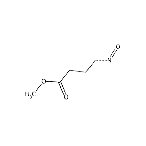 COC(=O)CCCN=O